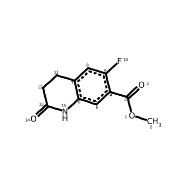 COC(=O)c1cc2c(cc1F)CCC(=O)N2